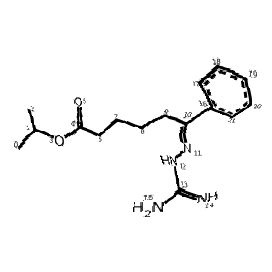 CC(C)OC(=O)CCCCC(=NNC(=N)N)c1ccccc1